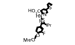 COCCOc1ccc(-c2nc(Nc3ncc(-c4cccs4)cc3C(=O)O)sc2C(C)C)cc1F